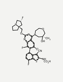 C[C@@]1(O)COCCN(c2nc(OC[C@@]34CCCN3C[C@H](F)C4)nc3c(F)c(-c4ccc(F)c5sc(NC(=O)O)c(C#N)c45)c(Cl)cc23)C1